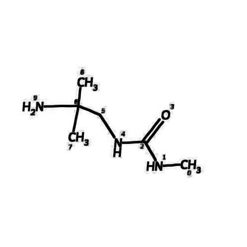 CNC(=O)NCC(C)(C)N